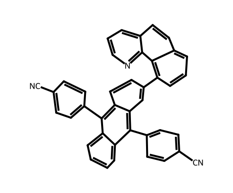 N#Cc1ccc(-c2c3ccccc3c(-c3ccc(C#N)cc3)c3cc(-c4cccc5ccc6cccnc6c45)ccc23)cc1